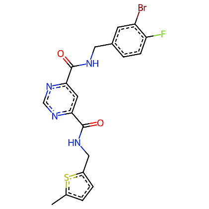 Cc1ccc(CNC(=O)c2cc(C(=O)NCc3ccc(F)c(Br)c3)ncn2)s1